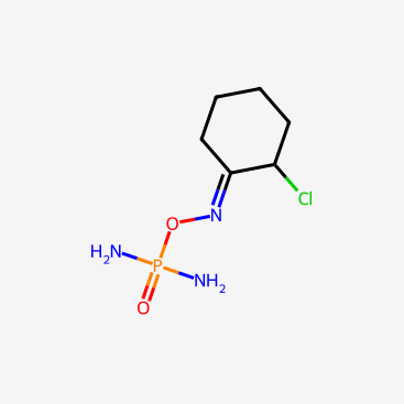 NP(N)(=O)ON=C1CCCCC1Cl